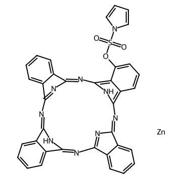 O=S(=O)(Oc1cccc2c3nc4nc(nc5[nH]c(nc6nc(nc([nH]3)c12)-c1ccccc1-6)c1ccccc51)-c1ccccc1-4)n1cccc1.[Zn]